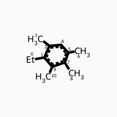 [CH2]Cc1c(C)cc(C)c(C)c1C